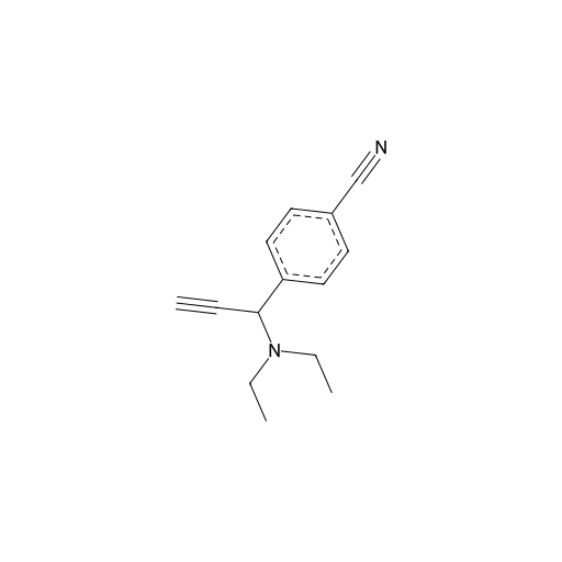 C#CC(c1ccc(C#N)cc1)N(CC)CC